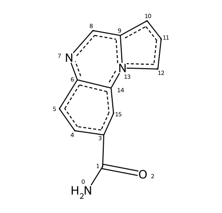 NC(=O)c1ccc2ncc3cccn3c2c1